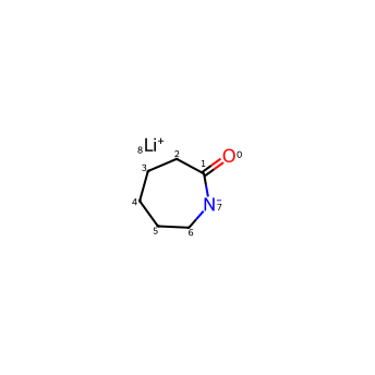 O=C1CCCCC[N-]1.[Li+]